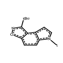 CC(C)(C)c1noc2ccc3c(ccn3I)c12